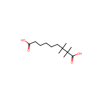 CC(C)(CCCCCC(=O)O)C(C)(C)C(=O)O